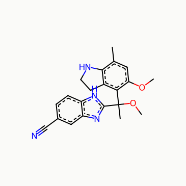 COc1cc(C)c2c(c1C(C)(OC)c1nc3cc(C#N)ccc3[nH]1)CCN2